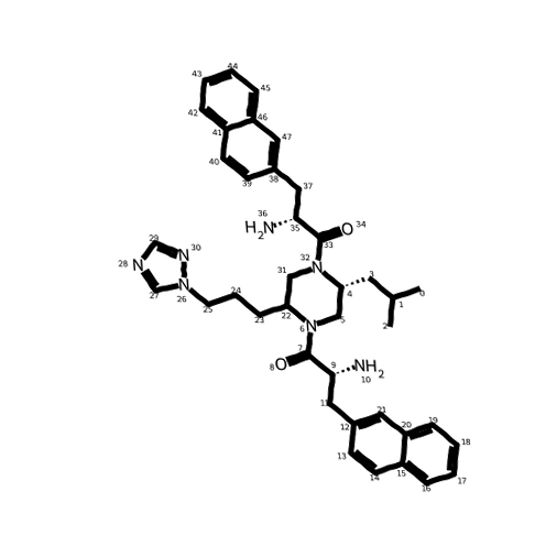 CC(C)C[C@@H]1CN(C(=O)[C@H](N)Cc2ccc3ccccc3c2)C(CCCn2cncn2)CN1C(=O)[C@H](N)Cc1ccc2ccccc2c1